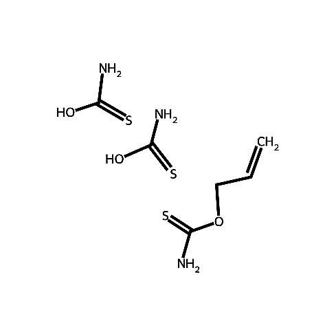 C=CCOC(N)=S.NC(O)=S.NC(O)=S